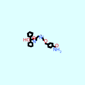 C[N+](C)(CCOCc1ccc(C(N)=O)cc1)Cc1cnc(C(O)(c2ccccc2)C2CCCCC2)o1